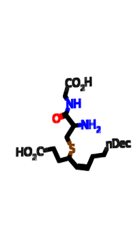 CCCCCCCCCCCC/C=C\C(CCC(=O)O)SCC(N)C(=O)NCC(=O)O